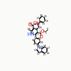 CCOC(=O)C1=C(c2ccc(-n3ccc4ccccc43)cc2)NC(C)=C(C(=O)O)C1/C=C/c1ccccc1